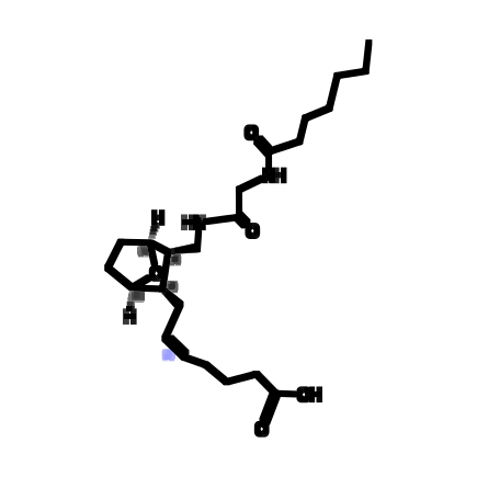 CCCCCCC(=O)NCC(=O)NC[C@H]1[C@@H](C/C=C\CCCC(=O)O)[C@H]2CC[C@@H]1O2